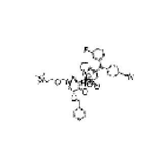 C[Si](C)(C)CCOCn1cc(OCc2ccccc2)c(=O)c(C(=O)N2CCC[C@@H]2[C@H](CS(=O)(=O)O)[C@H](c2ccc(C#N)cc2)c2cccc(F)c2)n1